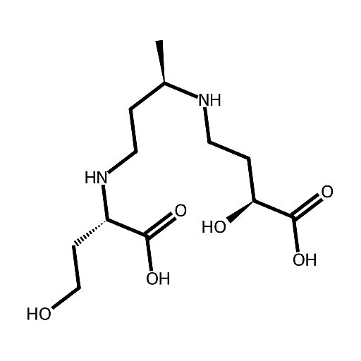 C[C@H](CCN[C@@H](CCO)C(=O)O)NCC[C@H](O)C(=O)O